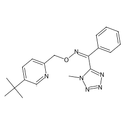 Cn1nnnc1C(=NOCc1ccc(C(C)(C)C)[c]n1)c1ccccc1